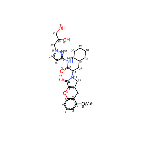 COc1cccc2c1CC1=C(O2)C(=O)N(C(CC2CCCCC2)C(=O)Nc2ccn(CC(O)CO)n2)C1